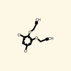 C#CCOc1cc(Cl)cc(Cl)c1OCC#C